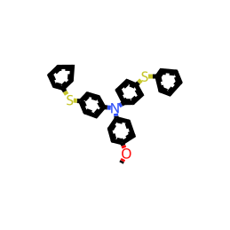 COc1ccc(N(c2ccc(Sc3ccccc3)cc2)c2ccc(Sc3ccccc3)cc2)cc1